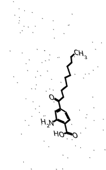 CCCCCCCCCC(=O)c1ccc(C(=O)O)c(N)c1